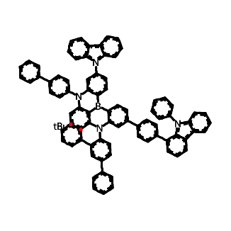 CC(C)(C)c1cc2c3c(c1)N(c1ccc(-c4ccccc4)cc1-c1ccccc1)c1cc(-c4ccc(-c5cccc6c7ccccc7n(-c7ccccc7)c56)cc4)ccc1B3c1ccc(-n3c4ccccc4c4ccccc43)cc1N2c1ccc(-c2ccccc2)cc1